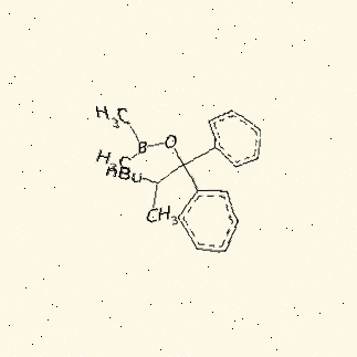 CCCCC(C)C(OB(C)C)(c1ccccc1)c1ccccc1